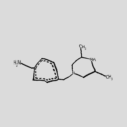 CC1CN(Cc2ccc(N)cc2)CC(C)N1